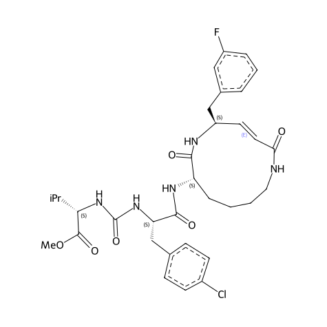 COC(=O)[C@@H](NC(=O)N[C@@H](Cc1ccc(Cl)cc1)C(=O)N[C@H]1CCCCNC(=O)/C=C/[C@H](Cc2cccc(F)c2)NC1=O)C(C)C